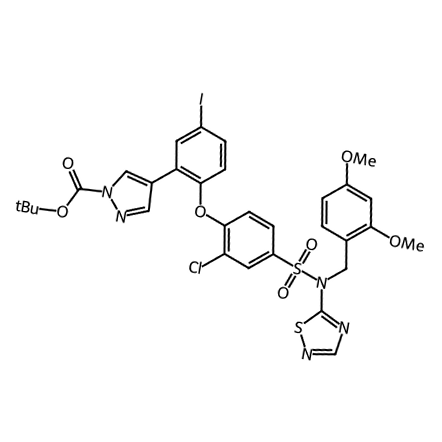 COc1ccc(CN(c2ncns2)S(=O)(=O)c2ccc(Oc3ccc(I)cc3-c3cnn(C(=O)OC(C)(C)C)c3)c(Cl)c2)c(OC)c1